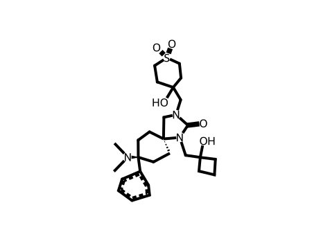 CN(C)[C@]1(c2ccccc2)CC[C@]2(CC1)CN(CC1(O)CCS(=O)(=O)CC1)C(=O)N2CC1(O)CCC1